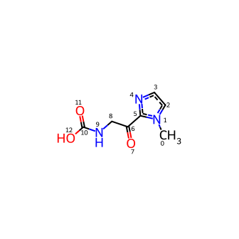 Cn1ccnc1C(=O)CNC(=O)O